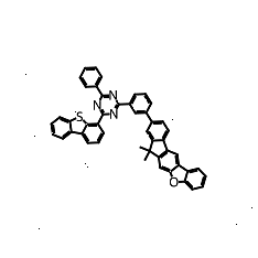 CC1(C)c2cc(-c3cccc(-c4nc(-c5ccccc5)nc(-c5cccc6c5sc5ccccc56)n4)c3)ccc2-c2cc3c(cc21)oc1ccccc13